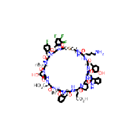 CCCC[C@H]1C(=O)N2C[C@@H](O)C[C@@H]2C(=O)N[C@@H](CC(=O)O)C(=O)N[C@@H](C(C)C)C(=O)N(C)[C@@H](Cc2ccccc2)C(=O)N[C@@H](CCC(=O)O)C(=O)N2CCCC[C@@H]2C(=O)N[C@@H](Cc2c[nH]c3ccccc23)C(=O)N[C@@H](Cc2ccc(O)cc2)C(=O)N[C@@H](CCCCN)C(=O)N[C@H](C)CSCC(=O)N[C@@H](Cc2cc(F)c(F)c(F)c2)C(=O)N(C)[C@@H](Cc2ccc(F)cc2)C(=O)N1C